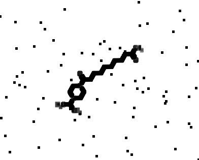 CC(=O)CCCCCCCCC(=O)N1CCN(C(C)C)CC1